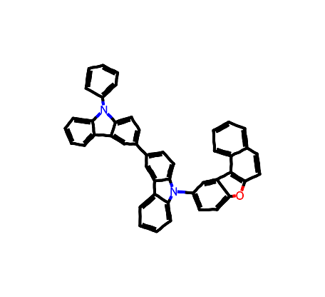 c1ccc(-n2c3ccccc3c3cc(-c4ccc5c(c4)c4ccccc4n5-c4ccc5oc6ccc7ccccc7c6c5c4)ccc32)cc1